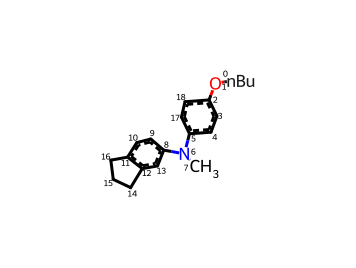 CCCCOc1ccc(N(C)c2ccc3c(c2)CCC3)cc1